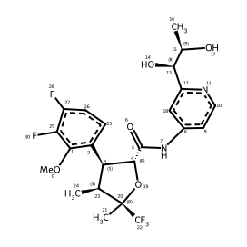 COc1c([C@H]2[C@H](C(=O)Nc3ccnc([C@@H](O)[C@@H](C)O)c3)O[C@@](C)(C(F)(F)F)[C@H]2C)ccc(F)c1F